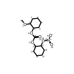 COC1CCCCC1OC(=O)OC1CCCCC1O[N+](=O)[O-]